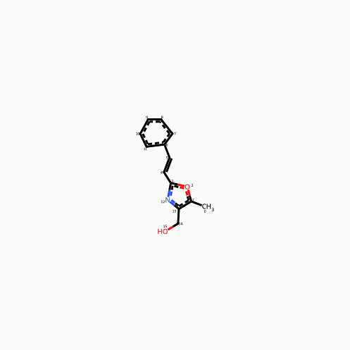 Cc1oc(C=Cc2ccccc2)nc1CO